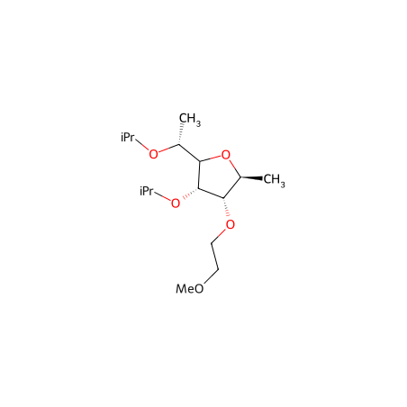 COCCO[C@H]1[C@H](C)OC([C@@H](C)OC(C)C)[C@H]1OC(C)C